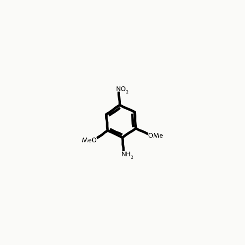 COc1cc([N+](=O)[O-])cc(OC)c1N